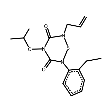 C=CCN1SN(c2ccccc2CC)C(=O)N(OC(C)C)C1=O